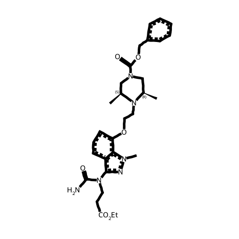 CCOC(=O)CCN(C(N)=O)c1nn(C)c2c(OCCN3[C@H](C)CN(C(=O)OCc4ccccc4)C[C@@H]3C)cccc12